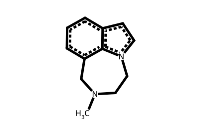 CN1CCn2ccc3cccc(c32)C1